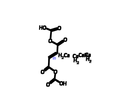 O=C(O)OC(=O)/C=C/C(=O)OC(=O)O.[CaH2].[CaH2].[CaH2].[CaH2]